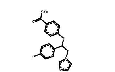 COC(=O)c1ccc(SC(Cn2ccnc2)c2ccc(F)cc2)cc1